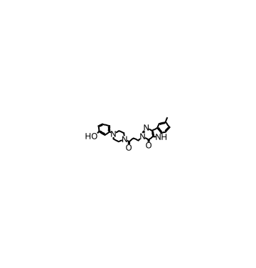 Cc1ccc2[nH]c3c(=O)n(CCC(=O)N4CCN(c5cccc(O)c5)CC4)cnc3c2c1